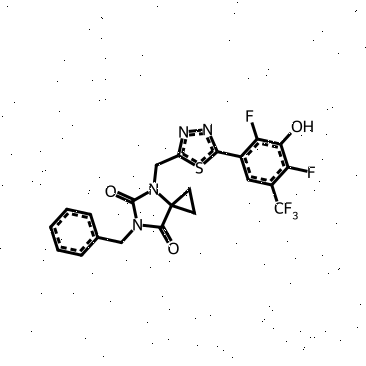 O=C1N(Cc2ccccc2)C(=O)C2(CC2)N1Cc1nnc(-c2cc(C(F)(F)F)c(F)c(O)c2F)s1